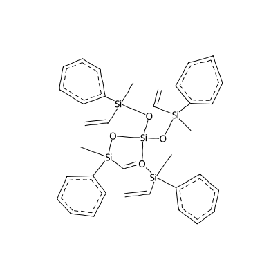 C=C[Si](C)(O[Si](O[Si](C)(C=C)c1ccccc1)(O[Si](C)(C=C)c1ccccc1)O[Si](C)(C=C)c1ccccc1)c1ccccc1